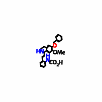 COc1cc2c(cc1OCc1ccccc1)CCNC2/C=C/c1ccccc1NC(=O)O